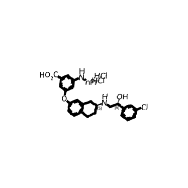 CCCNc1cc(Oc2ccc3c(c2)C[C@@H](NC[C@H](O)c2cccc(Cl)c2)CC3)cc(C(=O)O)c1.Cl.Cl